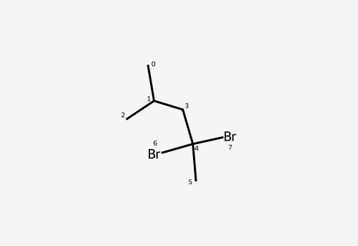 CC(C)CC(C)(Br)Br